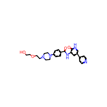 O=C(Nc1cc(-c2ccncc2)c[nH]c1=O)c1ccc(N2CCN(CCOCCO)CC2)cc1